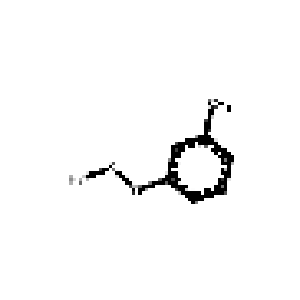 Cc1cccc(OSS)c1